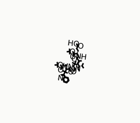 C/C(=C\[C@H](C(C)C)N(C)C(=O)C(NC(=O)[C@@H](N(C)C(=O)OC(C)(C)C)C(C)(C)c1cn(C)c2ccccc12)C(C)(C)C)C(=O)N[C@H](CCC(=O)O)C(=O)OC(C)(C)C